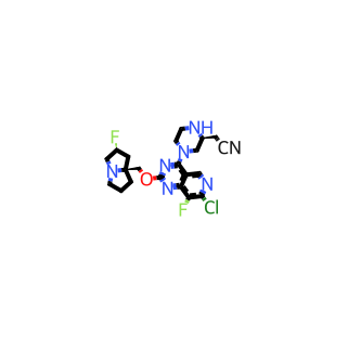 N#CC[C@H]1CN(c2nc(OC[C@@]34CCCN3C[C@H](F)C4)nc3c(F)c(Cl)ncc23)CCN1